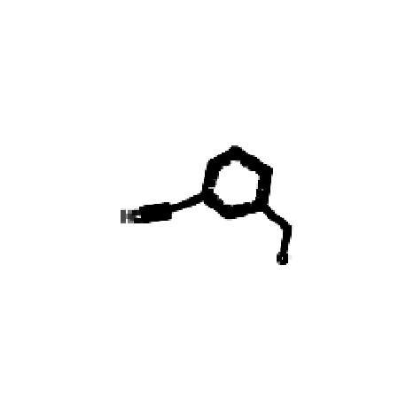 C#Cc1cccc(C[O])c1